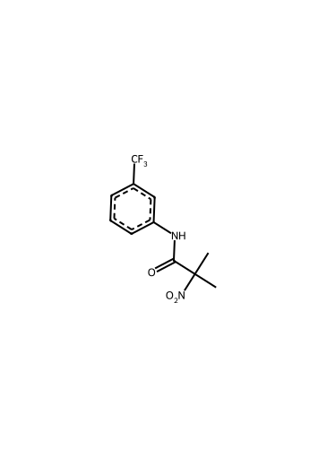 CC(C)(C(=O)Nc1cccc(C(F)(F)F)c1)[N+](=O)[O-]